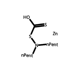 CCCCCN(CCCCC)SC(O)=S.[Zn]